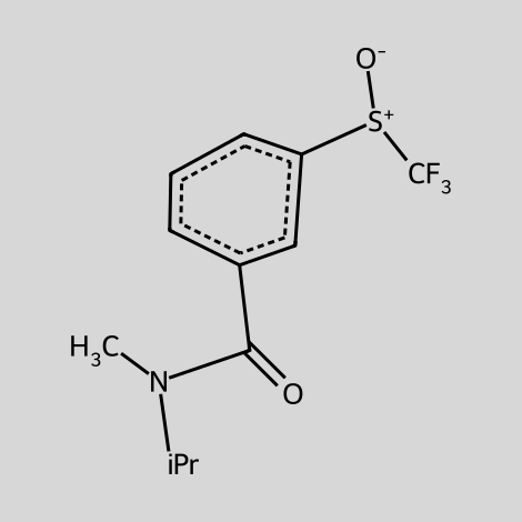 CC(C)N(C)C(=O)c1cccc([S+]([O-])C(F)(F)F)c1